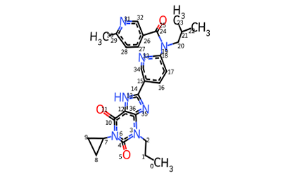 CCCn1c(=O)n(C2CC2)c(=O)c2[nH]c(-c3ccc(N(CC(C)C)C(=O)c4ccc(C)nc4)nc3)nc21